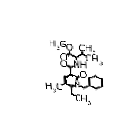 CCc1c(C)cc(C(=O)NC(C(=O)OC)C(C)C)c(=O)n1CC1CCCCC1